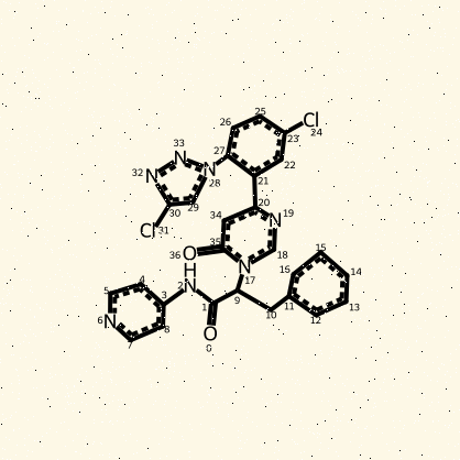 O=C(Nc1ccncc1)C(Cc1ccccc1)n1cnc(-c2cc(Cl)ccc2-n2cc(Cl)nn2)cc1=O